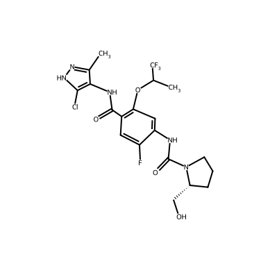 Cc1n[nH]c(Cl)c1NC(=O)c1cc(F)c(NC(=O)N2CCC[C@@H]2CO)cc1OC(C)C(F)(F)F